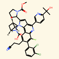 COC(=O)N1CCCC1c1cc2c(-c3ccc(C(C)(C)O)nc3)nc3c(F)c(-c4cccc(Cl)c4Cl)c(CCC#N)cc3c2n1[C@H]1[C@@H]2C[C@H]1N(C(=O)O)C2